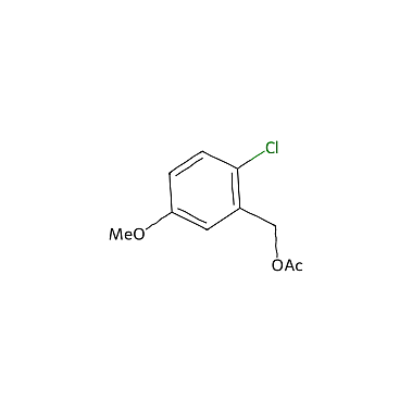 COc1ccc(Cl)c(COC(C)=O)c1